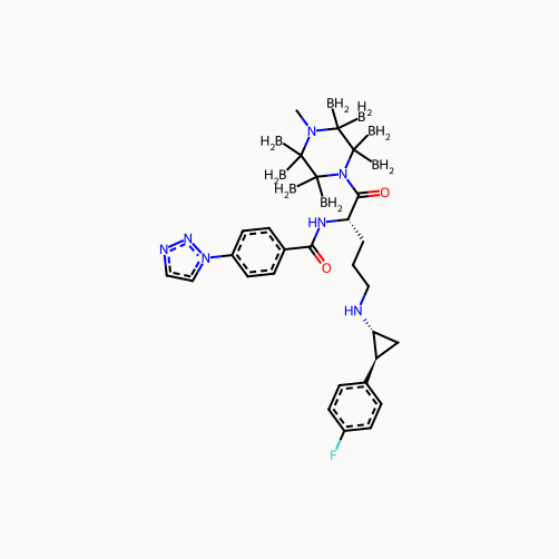 BC1(B)N(C)C(B)(B)C(B)(B)N(C(=O)[C@H](CCCN[C@@H]2C[C@H]2c2ccc(F)cc2)NC(=O)c2ccc(-n3ccnn3)cc2)C1(B)B